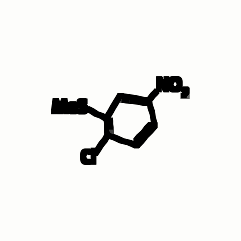 CSc1cc([N+](=O)[O-])ccc1Cl